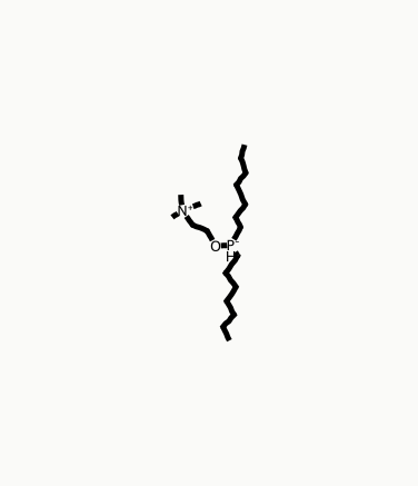 CCCCCCC[PH-](CCCCCCC)OCC[N+](C)(C)C